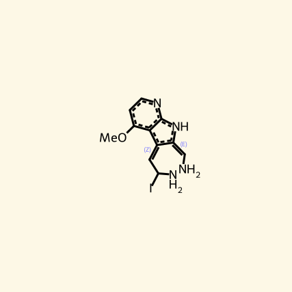 COc1ccnc2[nH]c(=C/N)/c(=C\C(N)I)c12